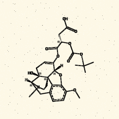 COc1ccc2c3c1O[C@H]1C(OC(=O)[C@H](CC(=O)O)OC(=O)OC(C)(C)C)=CC[C@@]4(O)[C@@H](C2)N(C)CC[C@]314